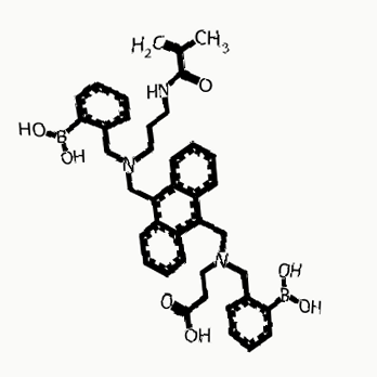 C=C(C)C(=O)NCCCN(Cc1ccccc1B(O)O)Cc1c2ccccc2c(CN(CCC(=O)O)Cc2ccccc2B(O)O)c2ccccc12